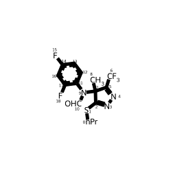 CCCSC1=NN=C(C(F)(F)F)C1(C)N(C=O)c1ccc(F)cc1F